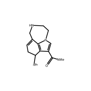 CCCC1CC=C2CNCCn3cc(C(=O)NC)c1c32